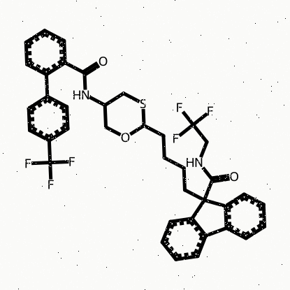 O=C(NC1COC(CCCCC2(C(=O)NCC(F)(F)F)c3ccccc3-c3ccccc32)SC1)c1ccccc1-c1ccc(C(F)(F)F)cc1